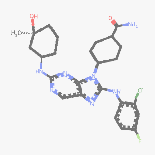 C[C@]1(O)CCC[C@@H](Nc2ncc3nc(Nc4ccc(F)cc4Cl)n(C4CCC(C(N)=O)CC4)c3n2)C1